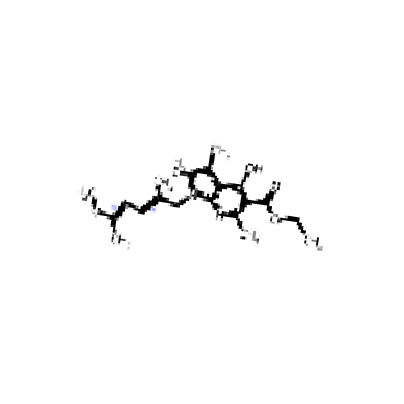 CCOC(=O)c1c(C)nc2c(c(C)c(C)n2C/C(C)=C/C=C(\C)OC)c1O